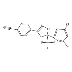 N#Cc1ccc(C2=NOC(c3cc(Cl)cc(Cl)c3)(C(F)(F)F)C2)cc1